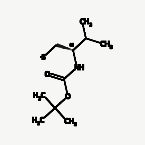 CC(C)[C@@H](C[S])NC(=O)OC(C)(C)C